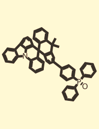 CC1(C)c2ccccc2C2(c3ccccc3-n3c4ccccc4c4cccc2c43)c2ccc(-c3ccc(P(=O)(c4ccccc4)c4ccccc4)cc3)cc21